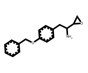 NC(Cc1ccc(OCc2ccccc2)cc1)C1CO1